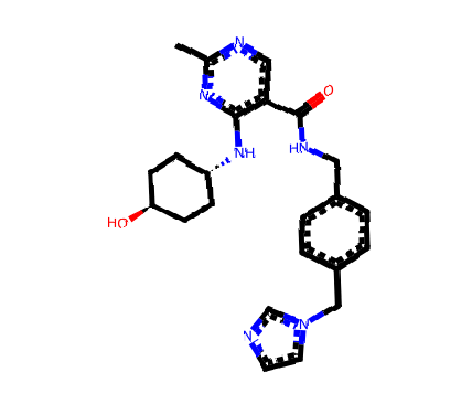 Cc1ncc(C(=O)NCc2ccc(Cn3ccnc3)cc2)c(N[C@H]2CC[C@H](O)CC2)n1